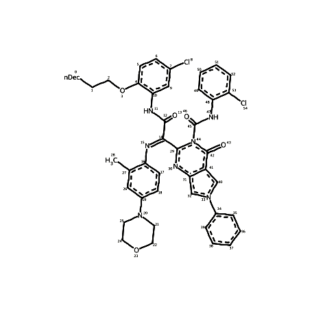 CCCCCCCCCCCCOc1ccc(Cl)cc1NC(=O)/C(=N/c1ccc(N2CCOCC2)cc1C)c1nc2cn(-c3ccccc3)cc2c(=O)n1C(=O)Nc1ccccc1Cl